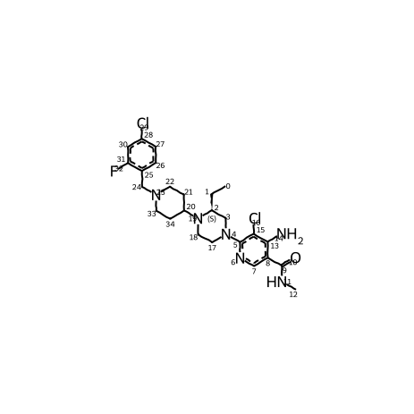 CC[C@H]1CN(c2ncc(C(=O)NC)c(N)c2Cl)CCN1C1CCN(Cc2ccc(Cl)cc2F)CC1